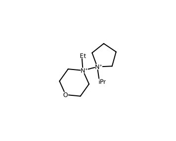 CC[N+]1([N+]2(C(C)C)CCCC2)CCOCC1